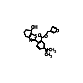 CN(C)c1ccc(-c2nc3c(s2)C(O)CCC3)c(C(=O)OCc2ccoc2)c1